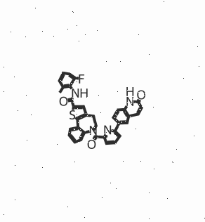 Cc1cccc(F)c1NC(=O)c1cc2c(s1)-c1ccccc1N(C(=O)c1cccc(-c3ccc4[nH]c(=O)ccc4c3)n1)CC2